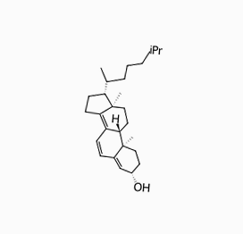 CC(C)CCCC(C)[C@H]1CCC2=C3C=CC4=C[C@@H](O)CC[C@]4(C)[C@H]3CC[C@@]21C